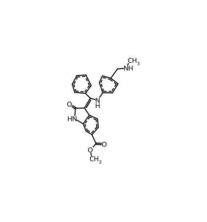 CNCc1ccc(NC(=C2C(=O)Nc3cc(C(=O)OC)ccc32)c2ccccc2)cc1